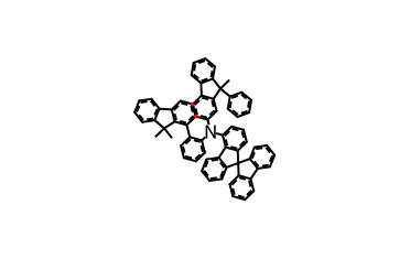 CC1(C)c2ccccc2-c2cccc(-c3ccccc3N(c3ccc4c(c3)C(C)(c3ccccc3)c3ccccc3-4)c3cccc4c3-c3ccccc3C43c4ccccc4-c4ccccc43)c21